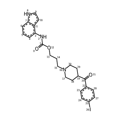 O=C(Nc1cccc2[nH]ccc12)OCCCN1CCC(C(=O)c2ccc(I)cc2)CC1